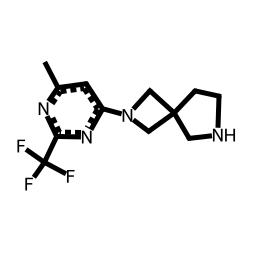 Cc1cc(N2CC3(CCNC3)C2)nc(C(F)(F)F)n1